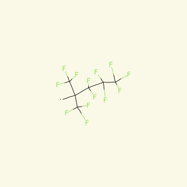 [CH2]C(C(F)(F)F)(C(F)(F)F)C(F)(F)C(F)(F)C(F)(F)F